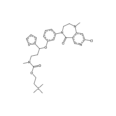 CN(CCC(Oc1cccc(N2CCN(C)c3cc(Cl)ncc3C2=O)c1)c1cccs1)C(=O)OCCS(C)(C)C